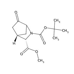 COC(=O)[C@@H]1[C@@H]2CC(=O)C(C2)N1C(=O)OC(C)(C)C